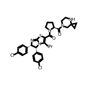 CC(C)C1=C(C(=O)N2CCC[C@H]2C(=O)N2CCNC3(CC3)C2)SC2=N[C@@H](c3ccc(Cl)cc3)[C@@H](c3ccc(Cl)cc3)N21